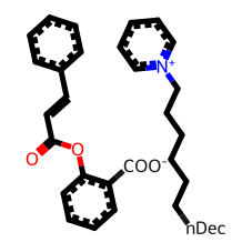 CCCCCCCCCCCCCCCC[n+]1ccccc1.O=C(C=Cc1ccccc1)Oc1ccccc1C(=O)[O-]